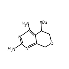 CCCCC1COCc2nc(N)nc(N)c21